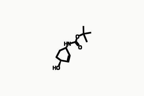 CC(C)(C)OC(=O)N[C@@H]1C=C[C@@H](O)CC1